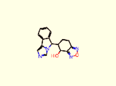 OC1c2nonc2CCC1C1c2ccccc2-c2cncn21